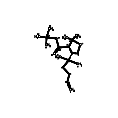 C=CCCC(C)(C)[C@H]1COC(C)(C)N1C(=O)OC(C)(C)C